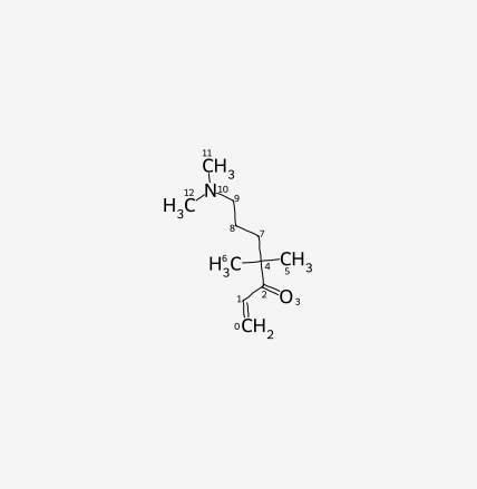 C=CC(=O)C(C)(C)CCCN(C)C